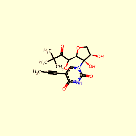 CC#Cc1cn([C@@]2(O)[C@H](O)CO[C@@H]2C(O)C(=O)C(C)(C)C)c(=O)[nH]c1=O